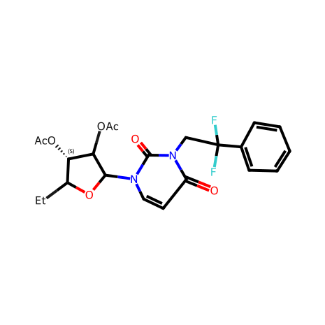 CCC1OC(n2ccc(=O)n(CC(F)(F)c3ccccc3)c2=O)C(OC(C)=O)[C@H]1OC(C)=O